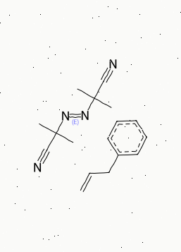 C=CCc1ccccc1.CC(C)(C#N)/N=N/C(C)(C)C#N